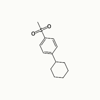 CS(=O)(=O)c1ccc(C2CCCCC2)cc1